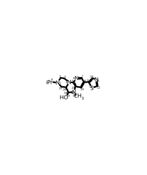 CC(C)N1CCN2c3ncc(-c4cncs4)cc3N(C)C(O)C2C1